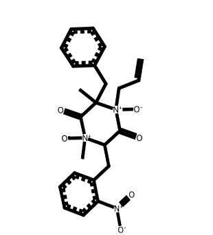 C=CC[N+]1([O-])C(=O)C(Cc2ccccc2[N+](=O)[O-])[N+](C)([O-])C(=O)C1(C)Cc1ccccc1